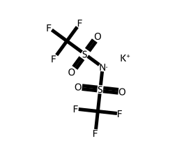 O=S(=O)([N]S(=O)(=O)C(F)(F)F)C(F)(F)F.[K+]